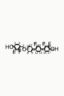 Oc1ccc(COC2CC=C(c3ccc(-c4ccc(O)c(F)c4F)cc3F)CC2)c(F)c1F